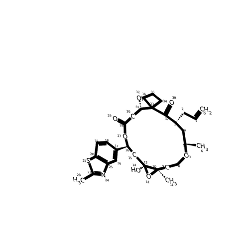 C=CC[C@@H]1C[C@@H](C)OCC[C@@]2(C)O[C@@]2(O)C[C@@H](c2ccc3sc(C)nc3c2)OC(=O)C[C@H](O)C2(CCC2)C1=O